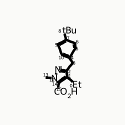 CCc1c(Cc2ccc(C(C)(C)C)cc2)nn(C)c1C(=O)O